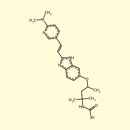 CC(CC(C)(C)NC(=O)C(C)C)Oc1ccc2nc(/C=C/c3ccc(N(C)C)nc3)[nH]c2c1